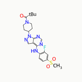 CC(C)(C)C(=O)N1CCC(n2ncc3c(Nc4ccc(S(C)(=O)=O)cc4F)ncnc32)CC1